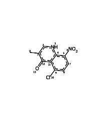 Cc1c[nH]c2c([N+](=O)[O-])ccc(Cl)c2c1=O